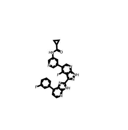 O=C(Nc1cncc(-c2cnc3[nH]nc(-c4nc5c(-c6cccc(F)c6)ccnc5[nH]4)c3c2F)c1)C1CC1